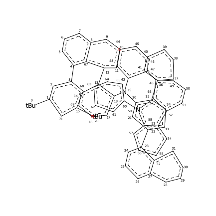 CC(C)(C)c1cc(-c2cccc3cccc(-c4ccccc4N(c4cc(-c5cccc6ccccc56)ccc4-c4ccccc4)c4ccccc4-c4cccc5c6ccccc6n(-c6ccccc6)c45)c23)cc(C(C)(C)C)c1